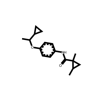 CC(Oc1ccc(NC(=O)C2(C)CC2C)cc1)C1CC1